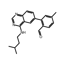 Cc1ccc(C=O)c(-c2ccc3ncnc(NCCC(C)C)c3c2)c1